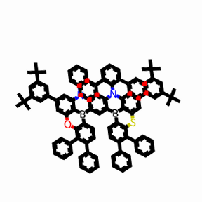 CC(C)(C)c1cc(-c2cc3c4c(c2)N(c2ccccc2)c2cc5c(cc2B4c2ccc(-c4ccccc4)c(-c4ccccc4)c2O3)B2c3ccc(-c4ccccc4)c(-c4ccccc4)c3Sc3cc(-c4cc(C(C)(C)C)cc(C(C)(C)C)c4)cc(c32)N5c2c(-c3ccccc3)cccc2-c2ccccc2)cc(C(C)(C)C)c1